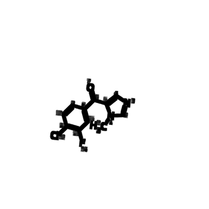 Cn1cncc1C(=O)c1ccc(Cl)c(F)c1